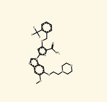 COc1cc2ncn(-c3cc(OCc4ccccc4C(F)(F)F)c(C(N)=O)s3)c2cc1OCCN1CCOCC1